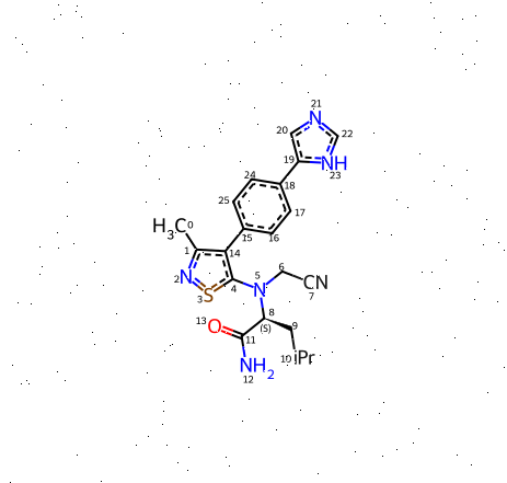 Cc1nsc(N(CC#N)[C@@H](CC(C)C)C(N)=O)c1-c1ccc(-c2cnc[nH]2)cc1